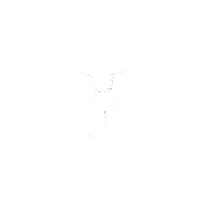 CCCCSc1nc2c(C)sc(C(=O)O)c2[nH]1